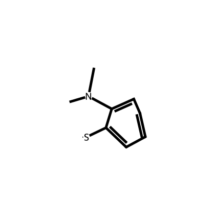 CN(C)c1ccccc1[S]